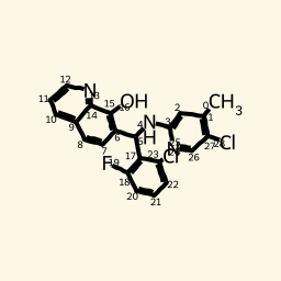 Cc1cc(NC(c2ccc3cccnc3c2O)c2c(F)cccc2Cl)ncc1Cl